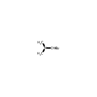 CN(C)C=O.[Au]